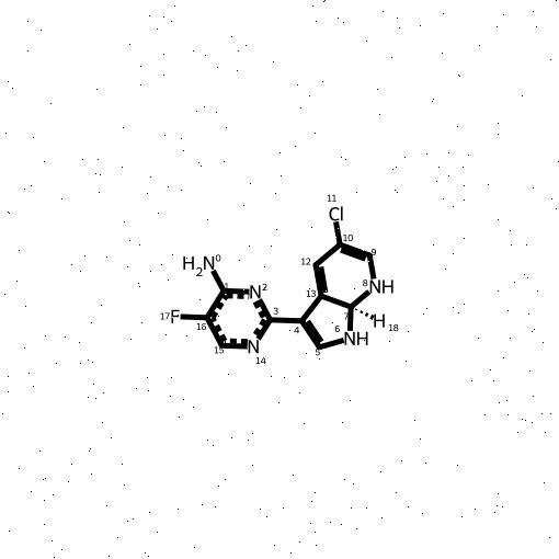 Nc1nc(C2=CN[C@@H]3NC=C(Cl)C=C23)ncc1F